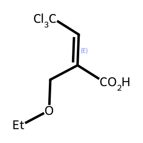 CCOC/C(=C\C(Cl)(Cl)Cl)C(=O)O